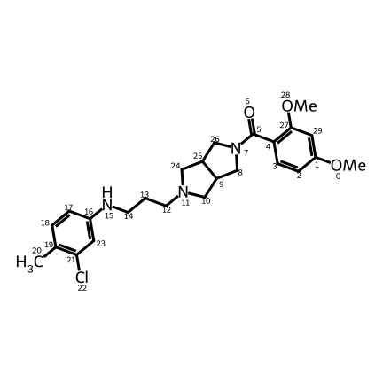 COc1ccc(C(=O)N2CC3CN(CCCNc4ccc(C)c(Cl)c4)CC3C2)c(OC)c1